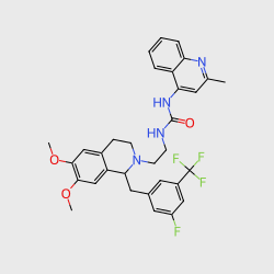 COc1cc2c(cc1OC)C(Cc1cc(F)cc(C(F)(F)F)c1)N(CCNC(=O)Nc1cc(C)nc3ccccc13)CC2